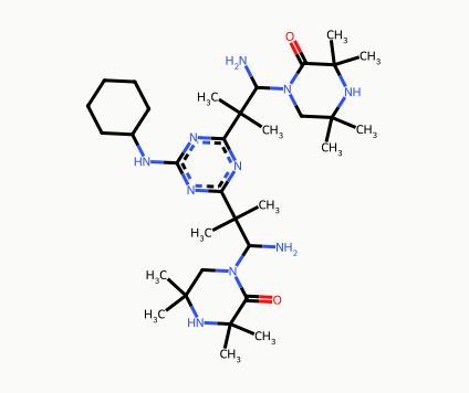 CC1(C)CN(C(N)C(C)(C)c2nc(NC3CCCCC3)nc(C(C)(C)C(N)N3CC(C)(C)NC(C)(C)C3=O)n2)C(=O)C(C)(C)N1